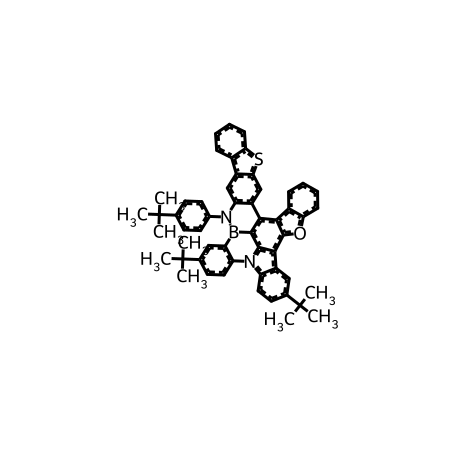 CC(C)(C)c1ccc(N2B3c4cc(C(C)(C)C)ccc4-n4c5ccc(C(C)(C)C)cc5c5c6oc7ccccc7c6c(c3c54)-c3cc4sc5ccccc5c4cc32)cc1